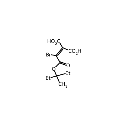 CCC(C)(CC)OC(=O)C(Br)=C(C(=O)O)C(=O)O